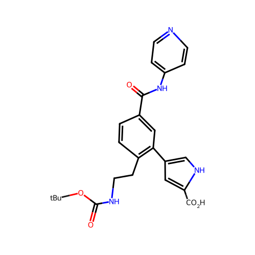 CC(C)(C)OC(=O)NCCc1ccc(C(=O)Nc2ccncc2)cc1-c1c[nH]c(C(=O)O)c1